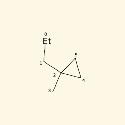 [CH2]CCC1(C)CC1